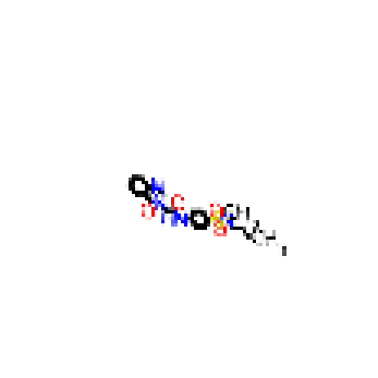 CCCCN(C)S(=O)(=O)c1ccc(NC(=O)Cn2cnc3ccccc3c2=O)cc1